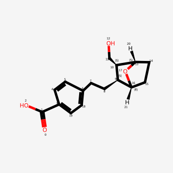 O=C(O)c1ccc(CC[C@H]2[C@@H](CO)[C@@H]3CC[C@H]2O3)cc1